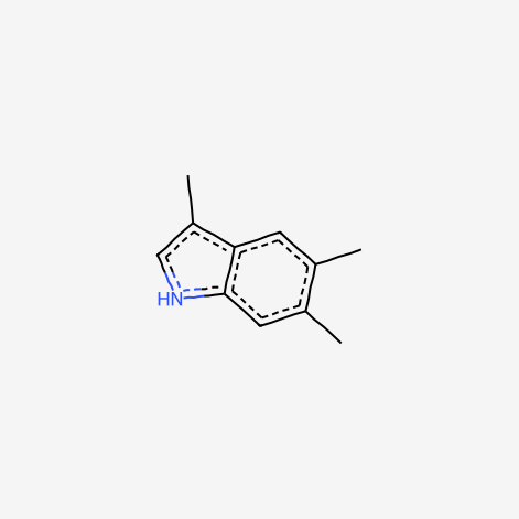 Cc1cc2[nH]cc(C)c2cc1C